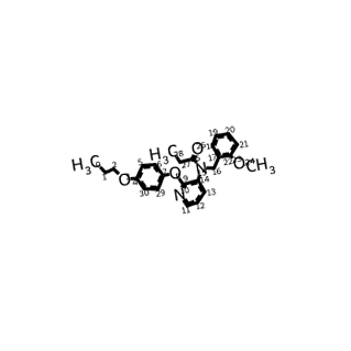 CCCOc1ccc(Oc2ncccc2N(Cc2ccccc2OC)C(=O)CC)cc1